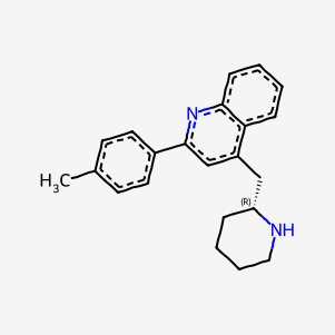 Cc1ccc(-c2cc(C[C@H]3CCCCN3)c3ccccc3n2)cc1